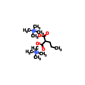 CCCC(C(=O)[O-])C(=O)[O-].C[N+](C)(C)C.C[N+](C)(C)C